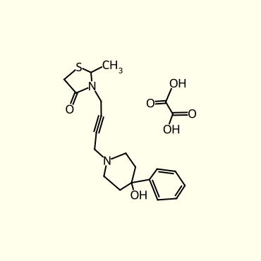 CC1SCC(=O)N1CC#CCN1CCC(O)(c2ccccc2)CC1.O=C(O)C(=O)O